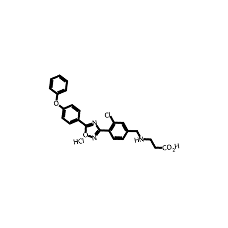 Cl.O=C(O)CCNCc1ccc(-c2noc(-c3ccc(Oc4ccccc4)cc3)n2)c(Cl)c1